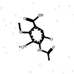 COc1c(C(=O)O)cc(Cl)c(NC(C)=O)c1N